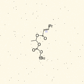 CC(C)/C=C/C(=O)OC(C)OC(=O)OC(C)(C)C